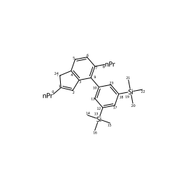 CCCC1=Cc2c(ccc(CCC)c2-c2cc([Si](C)(C)C)cc([Si](C)(C)C)c2)[CH]1